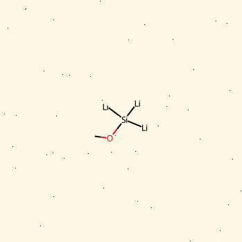 [Li][Si]([Li])([Li])OC